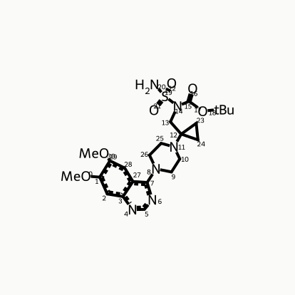 COc1cc2ncnc(N3CCN(C4(CN(C(=O)OC(C)(C)C)S(N)(=O)=O)CC4)CC3)c2cc1OC